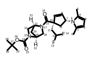 Cc1ccc(C)n1[C@H]1C=C[C@](CC(F)F)(C(=O)N2C[C@@H]3C[C@H]2CN3C(=O)OC(C)(C)C)C1